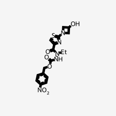 CCN(NC(=O)OCc1ccc([N+](=O)[O-])cc1)C(=O)c1csc(N2CC(O)C2)n1